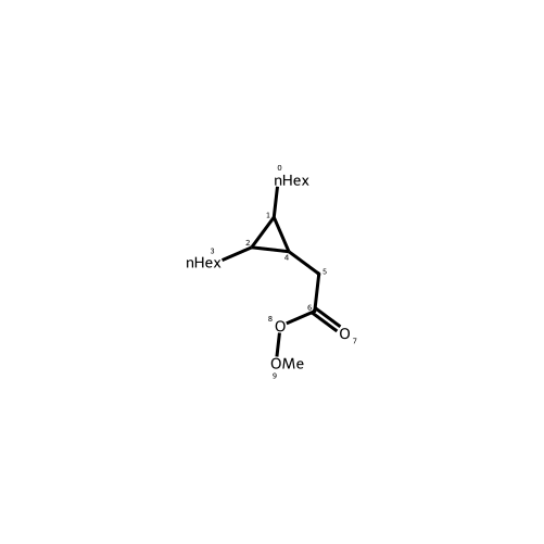 CCCCCCC1C(CCCCCC)C1CC(=O)OOC